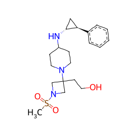 CS(=O)(=O)N1CC(CCO)(N2CCC(N[C@@H]3C[C@H]3c3ccccc3)CC2)C1